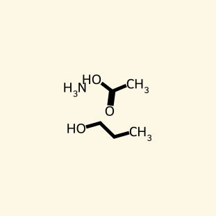 CC(=O)O.CCCO.N